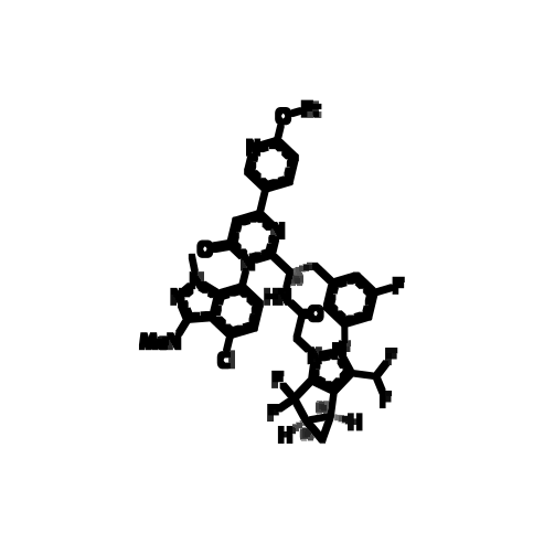 CCOc1ccc(-c2cc(=O)n(-c3ccc(Cl)c4c(NC)nn(C)c34)c([C@H](Cc3cc(F)cc(F)c3)NC(=O)Cn3nc(C(F)F)c4c3C(F)(F)[C@@H]3C[C@H]43)n2)cn1